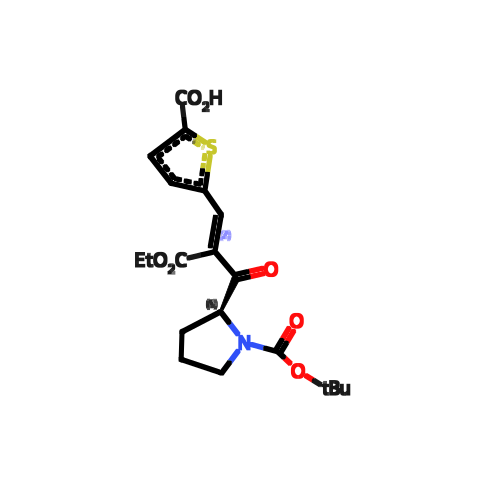 CCOC(=O)/C(=C\c1ccc(C(=O)O)s1)C(=O)[C@@H]1CCCN1C(=O)OC(C)(C)C